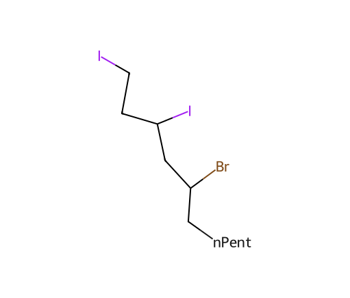 CCCCCCC(Br)CC(I)CCI